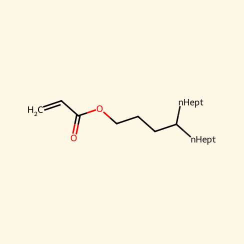 C=CC(=O)OCCCC(CCCCCCC)CCCCCCC